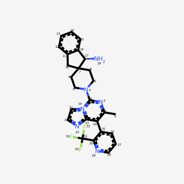 Cc1nc(N2CCC3(CC2)Cc2ccccc2[C@H]3N)n2ccnc2c1-c1cccnc1C(F)(F)F